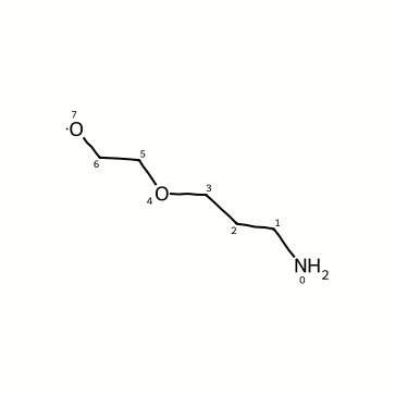 NCCCOCC[O]